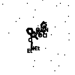 CCN(CC)CCOc1c(C)n(S(=O)(=O)c2c(Cl)nc3sccn23)c2ccccc12